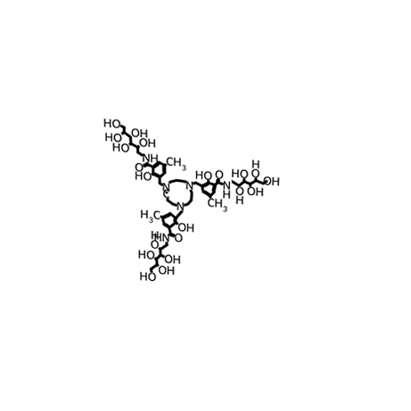 Cc1cc(CN2CCCN(Cc3cc(C)cc(C(=O)NCC(O)C(O)C(O)C(O)CO)c3O)CCCN(Cc3cc(C)cc(C(=O)NCC(O)C(O)C(O)C(O)CO)c3O)CCC2)c(O)c(C(=O)NCC(O)C(O)C(O)C(O)CO)c1